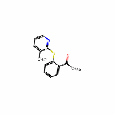 COC(=O)c1ccccc1Sc1ncccc1C=O